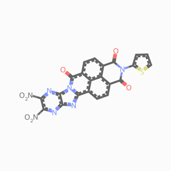 O=C1c2ccc3c(=O)n4c5nc([N+](=O)[O-])c([N+](=O)[O-])nc5nc4c4ccc(c2c34)C(=O)N1c1cccs1